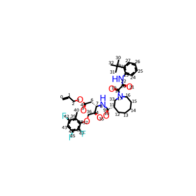 C=CCOC(=O)C[C@H](NC(=O)[C@H]1CCCCCN(C(=O)C(=O)Nc2ccccc2C(C)(C)C)C1)C(=O)COc1c(C)c(F)cc(F)c1F